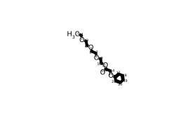 CCOCCOCCOCCOC(=O)COc1ccccc1